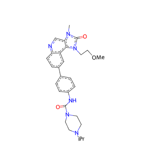 COCCn1c(=O)n(C)c2cnc3ccc(-c4ccc(NC(=O)N5CCN(C(C)C)CC5)cc4)cc3c21